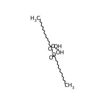 CCCCCCCCCCCCCCCC(=O)OCCOC(=O)CCCCCCCCCCCCCCC.OCCO